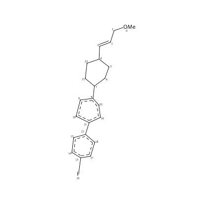 COC/C=C/C1CCC(c2ccc(-c3ccc(F)cc3)cc2)CC1